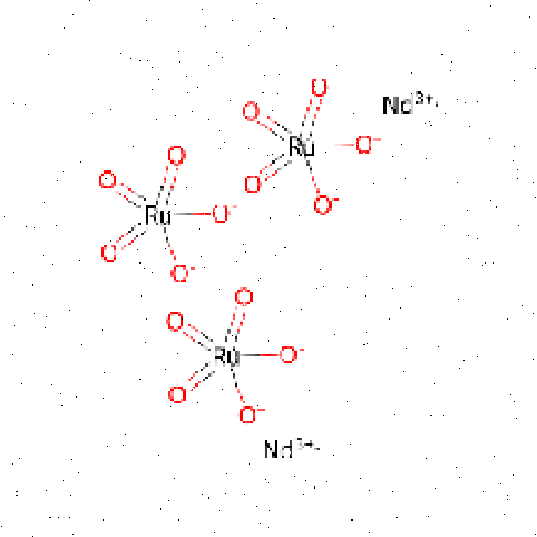 [Nd+3].[Nd+3].[O]=[Ru](=[O])(=[O])([O-])[O-].[O]=[Ru](=[O])(=[O])([O-])[O-].[O]=[Ru](=[O])(=[O])([O-])[O-]